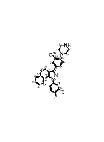 Cc1ccc(-n2nc(-c3ccc(N4CCNCC4)c(Cl)c3)c3cnc4ccccc4c32)cc1C